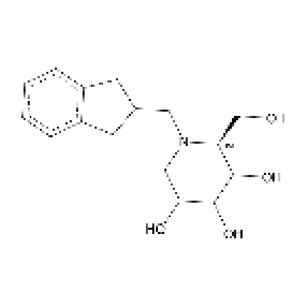 OC[C@H]1C(O)C(O)C(O)CN1CC1Cc2ccccc2C1